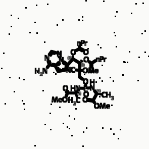 CCCC(=O)O[C@@H](c1ccc2c(N)ncnn12)[C@H](OC(=O)CCC)C(C#N)(COP(=O)(N[C@@H](C)C(=O)OC)N[C@@H](C)C(=O)OC)OC